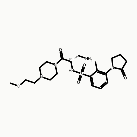 COCCN1CCN(C(=O)[C@H](CN)NS(=O)(=O)c2cccc(N3CCCC3=O)c2C)CC1